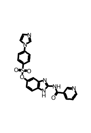 O=C(Nc1nc2cc(OS(=O)(=O)c3ccc(-n4ccnc4)cc3)ccc2[nH]1)c1cccnc1